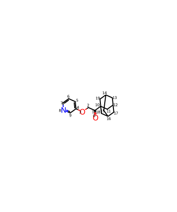 O=C(COc1cccnc1)C12CC3CC(CC(C3)C1)C2